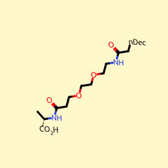 CCCCCCCCCCCC(=O)NCCOCCOCCC(=O)N[C@@H](C)C(=O)O